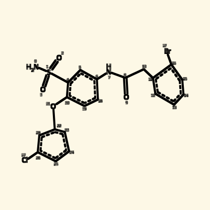 NS(=O)(=O)c1cc(NC(=O)Cc2ccccc2Br)ccc1Oc1cccc(Cl)c1